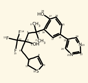 CC(C)(CC(O)(CC1C=CSC1)C(F)(F)F)c1cc(-c2cncnc2)ccc1O